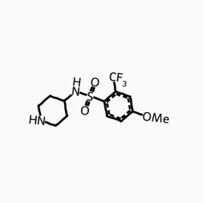 COc1ccc(S(=O)(=O)NC2CCNCC2)c(C(F)(F)F)c1